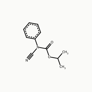 CC(C)OC(=O)N(C#N)c1ccccc1